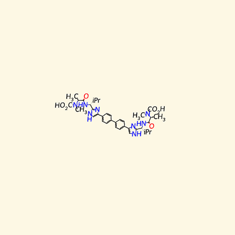 CC(C)[C@@H](NC(=O)[C@H](C)N(C)C(=O)O)c1nc(-c2ccc(-c3ccc(-c4c[nH]c([C@H](NC(=O)[C@H](C)N(C)C(=O)O)C(C)C)n4)cc3)cc2)c[nH]1